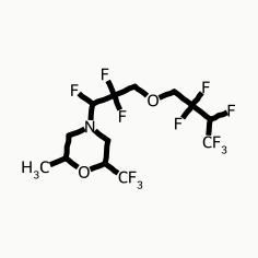 CC1CN(C(F)C(F)(F)COCC(F)(F)C(F)C(F)(F)F)CC(C(F)(F)F)O1